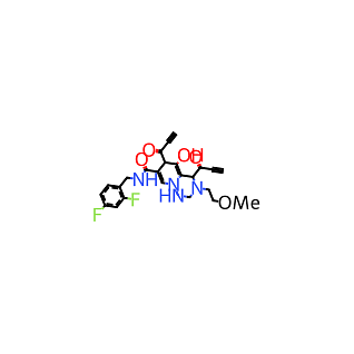 C#CC(=O)C1C(C(=O)NCc2ccc(F)cc2F)=CN2NCN(CCOC)C(C(=O)C#C)C2=C1O